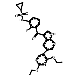 CCOc1ncc(-c2cnc3[nH]cc(C(=O)c4cccc(NS(=O)(=O)C5CC5)c4F)c3c2)c(OCC)n1